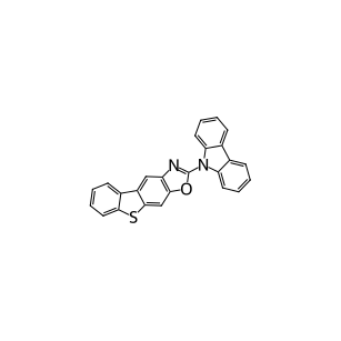 c1ccc2c(c1)sc1cc3oc(-n4c5ccccc5c5ccccc54)nc3cc12